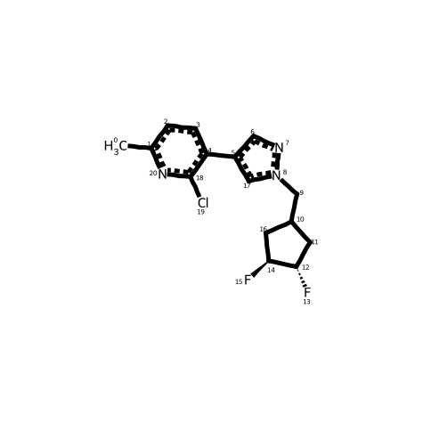 Cc1ccc(-c2cnn(CC3C[C@H](F)[C@@H](F)C3)c2)c(Cl)n1